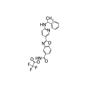 CC(Nc1ccc(-c2nc3cc(C(=O)NOC(=O)C(F)(F)F)ccc3o2)cn1)c1ccccc1